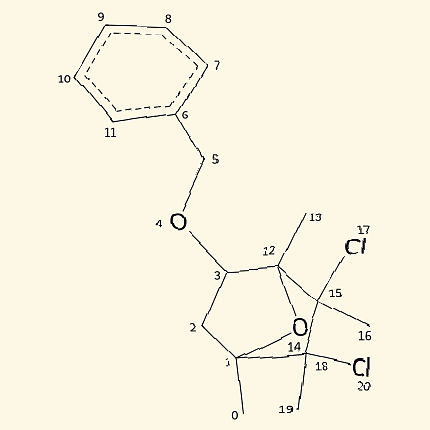 CC12CC(OCc3ccccc3)C(C)(O1)C(C)(Cl)C2(C)Cl